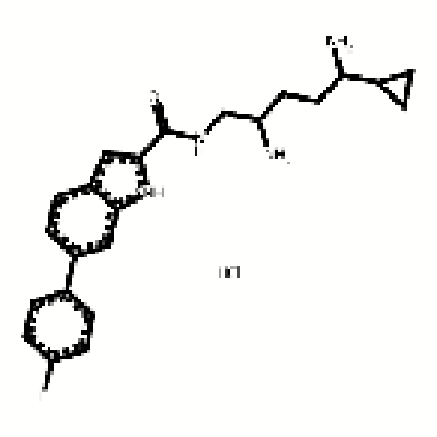 Cl.NC(CCC(N)C1CC1)CNC(=O)c1cc2ccc(-c3ccc(F)cc3)cc2[nH]1